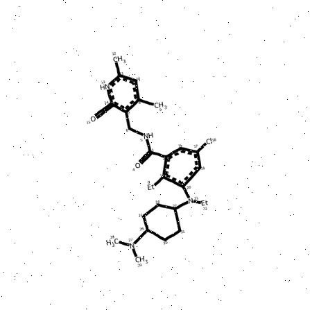 CCc1c(C(=O)NCc2c(C)cc(C)[nH]c2=O)cc(Cl)cc1N(CC)C1CCC(N(C)C)CC1